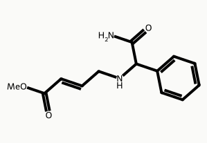 COC(=O)C=CCNC(C(N)=O)c1ccccc1